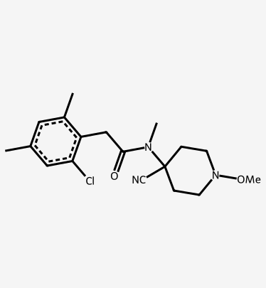 CON1CCC(C#N)(N(C)C(=O)Cc2c(C)cc(C)cc2Cl)CC1